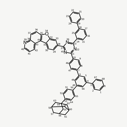 c1ccc(-c2cc(-c3ccc(-c4nc(-c5cccc(-c6ccccc6)c5)nc(-c5ccc6c(c5)oc5ccc7ncccc7c56)n4)cc3)cc(-c3ccc(C45CC6CC(CC(C6)C4)C5)cc3)c2)cc1